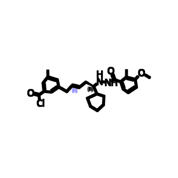 COc1cccc(C(=O)NN[C@H](C/C=C/Cc2cc(C)cc(C(=O)Cl)c2)C2CCCCC2)c1C